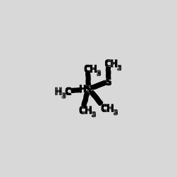 CS[SH](C)(C)(C)C